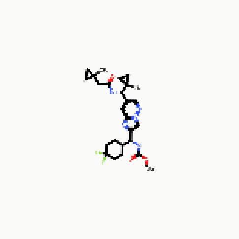 CC(C)(C)OC(=O)N[C@H](c1cn2ncc([C@H](NC(=O)CC3(C(F)(F)F)CC3)C3(C#N)CC3)cc2n1)C1CCC(F)(F)CC1